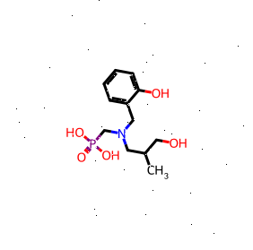 CC(CO)CN(Cc1ccccc1O)CP(=O)(O)O